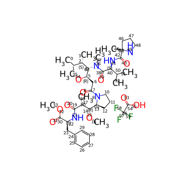 CC[C@H](C)[C@@H]([C@@H](CC(=O)N1CCC[C@H]1[C@H](OC)[C@@H](C)C(=O)N[C@@H](Cc1ccccc1)C(=O)OC)OC)N(C)C(=O)[C@@H](NC(=O)[C@]1(C)CCCN1)C(C)C.O=C(O)C(F)(F)F